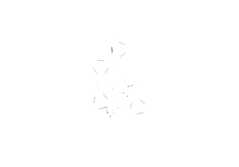 COC(OC)(c1ccccc1[O])N(C(=O)OCC1c2ccccc2-c2ccccc21)c1ccccc1